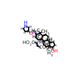 CC1(C)C2=CC[C@H]3[C@@H]4CC[C@H](O)[C@@]4(C)CC[C@@H]3[C@@]2(C)CCC1=NO[C@@H]1CCNC1.O=C(O)/C=C/C(=O)O